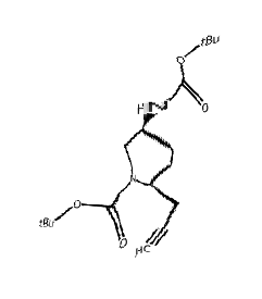 C#CC[C@@H]1C[C@H](NC(=O)OC(C)(C)C)CN1C(=O)OC(C)(C)C